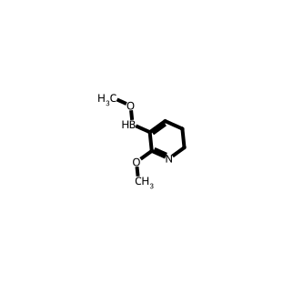 COBC1=CCCN=C1OC